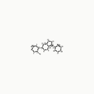 Cc1ccncc1-c1ccc2c(ccn2-c2ccccn2)c1